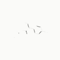 CC=C(C(=O)OC(C)(C)C)c1ccc(Br)cc1